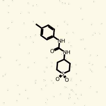 Cc1ccc(NC(=O)NC2CCS(=O)(=O)CC2)cc1